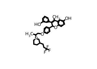 CC1=C(c2cccc(O)c2)C(c2ccc(OCC(C)N3CCCC(CCC(F)(F)F)C3)cc2)Oc2ccc(O)cc21